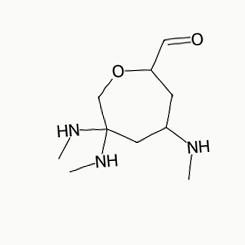 CNC1CC(C=O)OCC(NC)(NC)C1